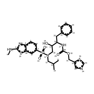 CNc1nc2ccc(S(=O)(=O)N(CC(C)C)CC(O)C(Cc3ccccc3)NC(=O)OCc3cncs3)cc2s1